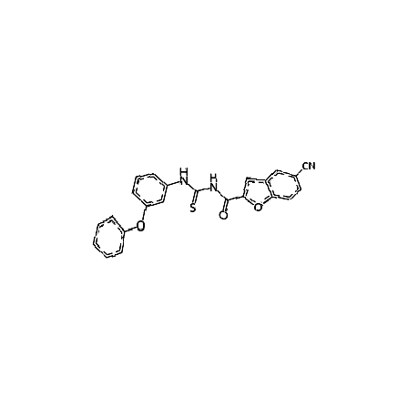 N#Cc1ccc2oc(C(=O)NC(=S)Nc3cccc(Oc4ccccc4)c3)cc2c1